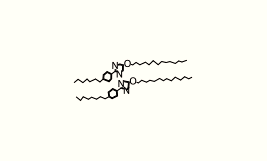 CCCCCCCCCCCCCCOc1cnc(-c2ccc(CCCCCCC)cc2)nc1.CCCCCCCCCCCCCCOc1cnc(-c2ccc(CCCCCCCC)cc2)nc1